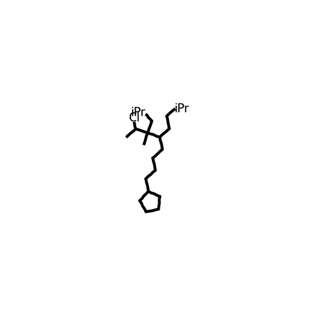 CC(C)CCC(CCCCC1CCCC1)C(C)(CC(C)C)C(C)Cl